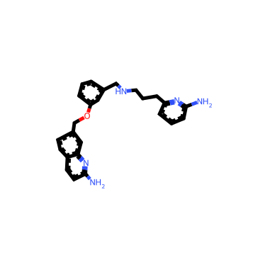 Nc1cccc(CCCNCc2cccc(OCc3ccc4ccc(N)nc4c3)c2)n1